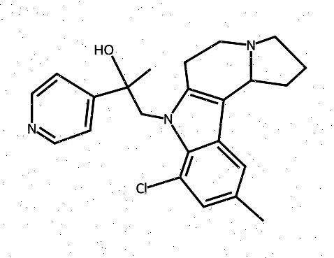 Cc1cc(Cl)c2c(c1)c1c(n2CC(C)(O)c2ccncc2)CCN2CCCC12